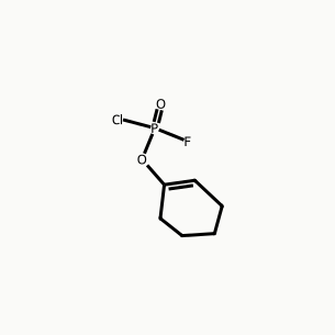 O=P(F)(Cl)OC1=CCCCC1